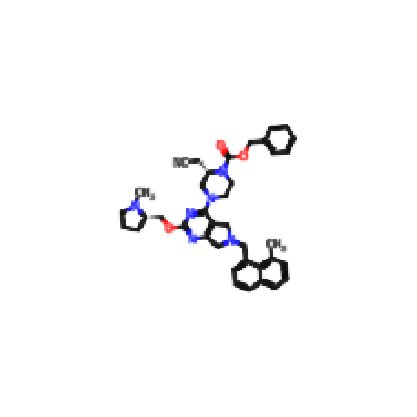 Cc1cccc2cccc(CN3Cc4nc(OC[C@@H]5CCCN5C)nc(N5CCN(C(=O)OCc6ccccc6)[C@@H](CC#N)C5)c4C3)c12